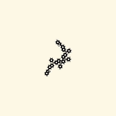 c1ccc(N(c2ccc3cc(-c4cc5ccccc5o4)ccc3c2)c2ccc3c(ccc4c5c6c7ccc8cc(N(c9ccccc9)c9ccc%10cc(-c%11cc%12ccccc%12o%11)ccc%10c9)ccc8c7n(-c7ccccc7)c6ccc5n(-c5ccccc5)c34)c2)cc1